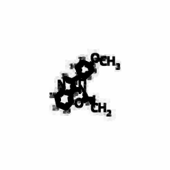 C=CC(=O)Nc1c(-c2ccc(OC)cc2)cnc2ccccc12